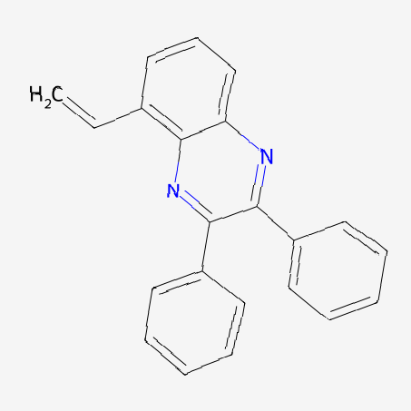 C=Cc1cccc2nc(-c3ccccc3)c(-c3ccccc3)nc12